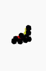 c1ccc(-c2c(-c3c4ccccc4c(-c4cccc5c4oc4ccc6ccccc6c45)c4ccccc34)sc3c2ccc2c4ccccc4sc23)cc1